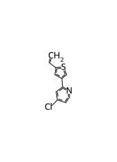 C=Cc1cc(-c2cc(Cl)ccn2)cs1